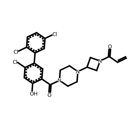 C=CC(=O)N1CC(N2CCN(C(=O)c3cc(-c4cc(Cl)ccc4Cl)c(Cl)cc3O)CC2)C1